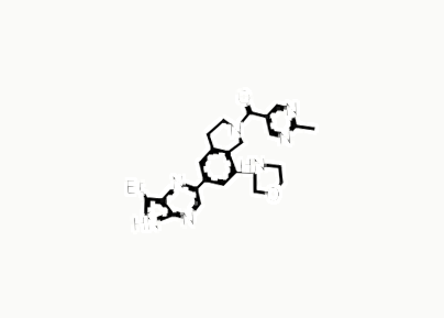 CCc1c[nH]c2ncc(-c3cc4c(c([C@@H]5COCCN5)c3)CN(C(=O)c3cnc(C)nc3)CC4)nc12